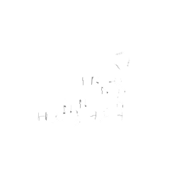 CCC(C(=O)O)N1C(=O)C(Cc2ccccc2)NC12CCN(C(=S)N(C)C1CCCCC1)CC2